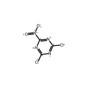 O=[N+]([O-])c1nc(Cl)nc(Cl)n1